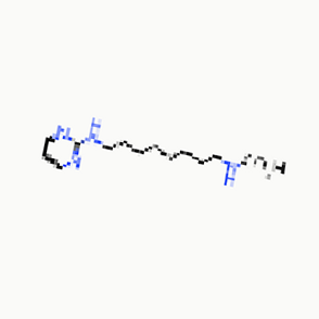 O=C(O)NCCCCCCCCNc1ncccn1